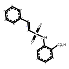 O=C(O)c1ccccc1NS(=O)(=O)/C=C/c1ccccc1